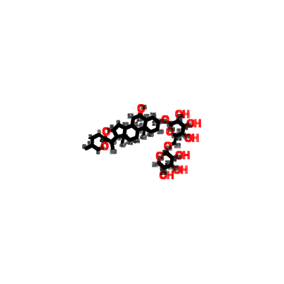 CC1CC[C@@]2(OC1)OC1CC3C4CC(=O)C5C[C@@H](O[C@@H]6O[C@H](CO[C@@H]7OC[C@@H](O)[C@H](O)[C@H]7O)[C@@H](O)[C@H](O)[C@H]6O)CC[C@]5(C)C4CC[C@]3(C)C1C2C